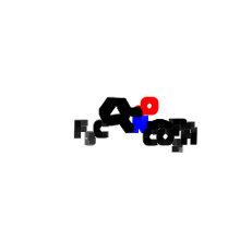 CC(C)CC(C(=O)O)N1Cc2c(cccc2C(F)(F)F)C1=O